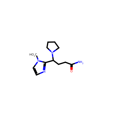 NC(=O)CCC(c1nccn1C(=O)O)N1CCCC1